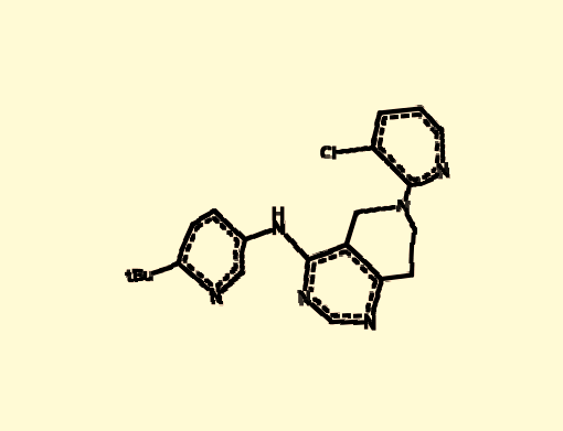 CC(C)(C)c1ccc(Nc2ncnc3c2CN(c2ncccc2Cl)CC3)cn1